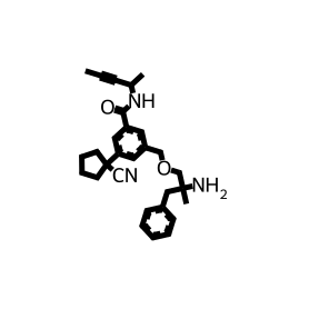 CC#CC(C)NC(=O)c1cc(COCC(C)(N)Cc2ccccc2)cc(C2(C#N)CCCC2)c1